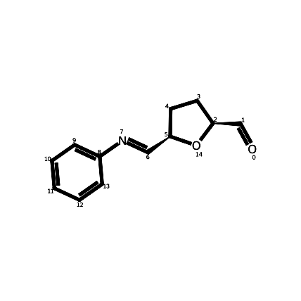 O=C[C@@H]1CC[C@H](/C=N/c2ccccc2)O1